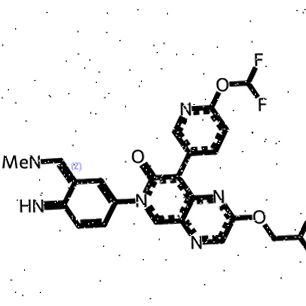 CN/C=C1/C=C(n2cc3ncc(OCC(F)F)nc3c(-c3ccc(OC(F)F)nc3)c2=O)C=CC1=N